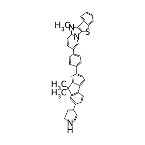 CN1c2c(sc3ccccc23)N2C=C(c3ccc(-c4ccc5c(c4)C(C)(C)c4cc(C6=CCNC=C6)ccc4-5)cc3)C=CC12